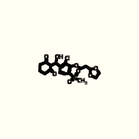 CS(=O)(=O)c1ccc(C(O)C2C(=O)CCCC2=O)c(Cl)c1OCCC1OCCO1